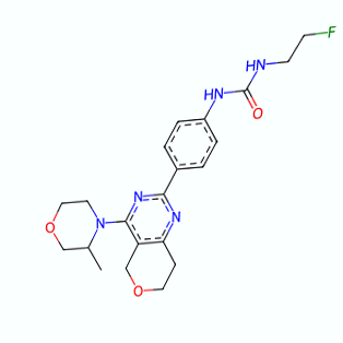 CC1COCCN1c1nc(-c2ccc(NC(=O)NCCF)cc2)nc2c1COCC2